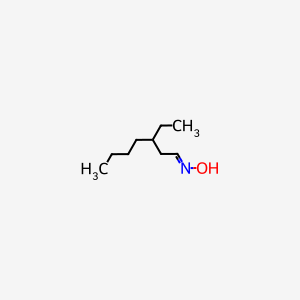 CCCCC(CC)CC=NO